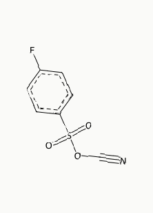 N#COS(=O)(=O)c1ccc(F)cc1